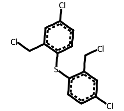 ClCc1cc(Cl)ccc1Sc1ccc(Cl)cc1CCl